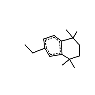 CCc1ccc2c(c1)C(C)(C)CCC2(C)C